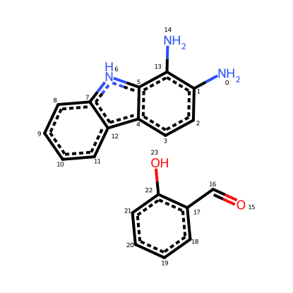 Nc1ccc2c([nH]c3ccccc32)c1N.O=Cc1ccccc1O